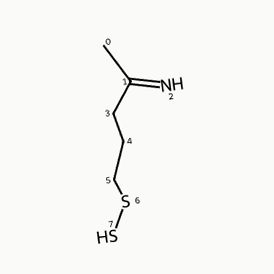 CC(=N)CCCSS